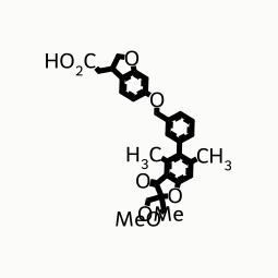 COCC1(COC)Oc2cc(C)c(-c3cccc(COc4ccc5c(c4)OCC5CC(=O)O)c3)c(C)c2C1=O